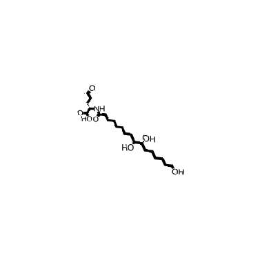 O=[C]CC[C@H](NC(=O)CCCCCCC[C@H](O)[C@H](O)CCCCCCO)C(=O)O